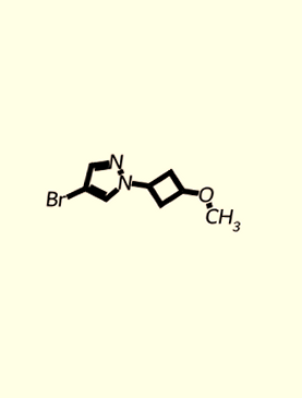 COC1CC(n2cc(Br)cn2)C1